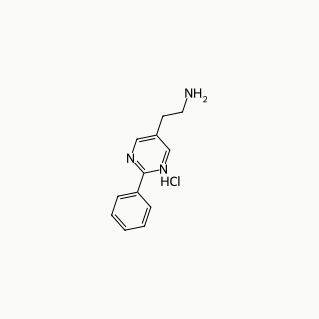 Cl.NCCc1cnc(-c2ccccc2)nc1